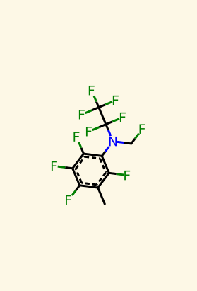 Cc1c(F)c(F)c(F)c(N(CF)C(F)(F)C(F)(F)F)c1F